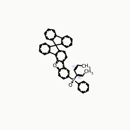 C/C=C\C(=C/C)P(=O)(c1ccccc1)c1ccc2oc3c4c(ccc3c2c1)C1(c2ccccc2-c2ccccc21)c1ccccc1-4